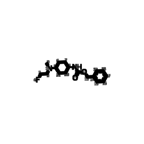 CN(CCF)[C@H]1CC[C@H](NC(=O)OCc2ccccc2)CC1